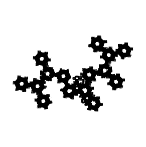 Cn1c2c(-c3cccc(-c4nc(-c5ccccc5)nc(-c5cc(-c6ccccc6)cc(-c6ccccc6)c5)n4)c3)cccc2c2c3oc4ccccc4c3cc(-c3cccc(-c4nc(-c5ccccc5)nc(-c5cc(-c6ccccc6)cc(-c6ccccc6)c5)n4)c3)c21